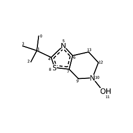 CC(C)(C)c1nc2c(s1)CN(O)CC2